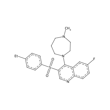 CCc1ccc(S(=O)(=O)c2cnc3ccc(F)cc3c2N2CCCN(C)CC2)cc1